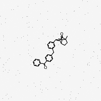 CC12CCC(C(=Cc3cccc(Cc4ccc(C(=O)c5ccccc5)cc4)c3)C1=O)C2(C)C